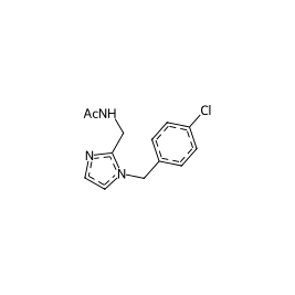 CC(=O)NCc1nccn1Cc1ccc(Cl)cc1